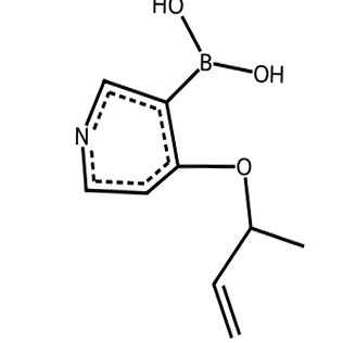 C=CC(C)Oc1ccncc1B(O)O